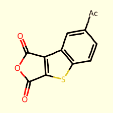 CC(=O)c1ccc2sc3c(c2c1)C(=O)OC3=O